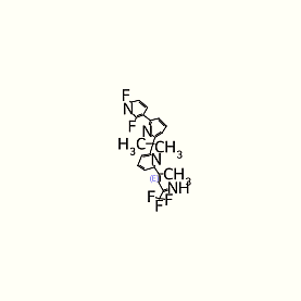 C/C(=C\C(=N)C(F)(F)F)c1cccc(C(C)(C)c2cccc(-c3ccc(F)nc3F)n2)n1